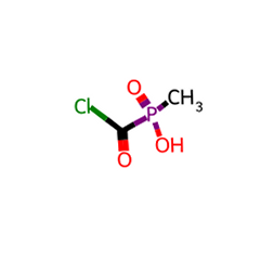 CP(=O)(O)C(=O)Cl